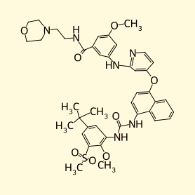 COc1cc(Nc2cc(Oc3ccc(NC(=O)Nc4cc(C(C)(C)C)cc(S(C)(=O)=O)c4OC)c4ccccc34)ccn2)cc(C(=O)NCCN2CCOCC2)c1